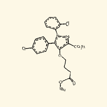 CCOC(=O)c1nn(-c2ccccc2Cl)c(-c2ccc(Cl)cc2)c1OCCCC(=O)OC(C)(C)C